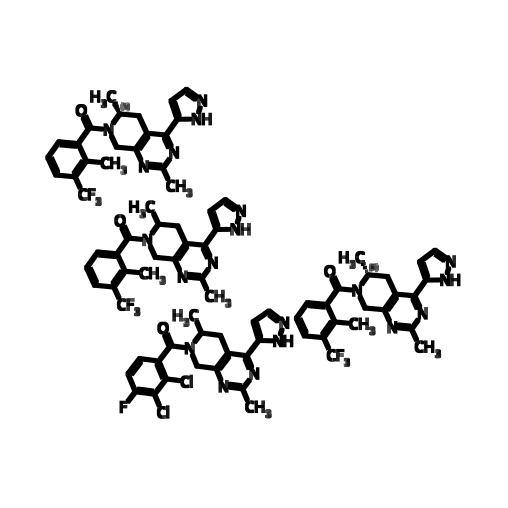 Cc1nc2c(c(-c3ccn[nH]3)n1)CC(C)N(C(=O)c1ccc(F)c(Cl)c1Cl)C2.Cc1nc2c(c(-c3ccn[nH]3)n1)CC(C)N(C(=O)c1cccc(C(F)(F)F)c1C)C2.Cc1nc2c(c(-c3ccn[nH]3)n1)C[C@@H](C)N(C(=O)c1cccc(C(F)(F)F)c1C)C2.Cc1nc2c(c(-c3ccn[nH]3)n1)C[C@H](C)N(C(=O)c1cccc(C(F)(F)F)c1C)C2